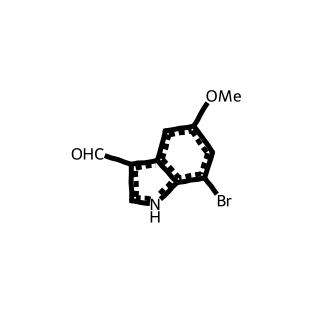 COc1cc(Br)c2[nH]cc(C=O)c2c1